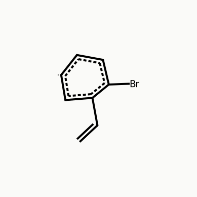 C=Cc1c[c]ccc1Br